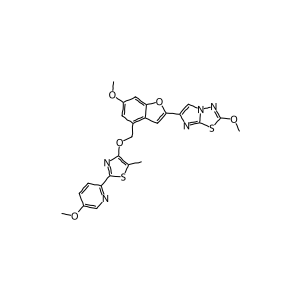 COc1ccc(-c2nc(OCc3cc(OC)cc4oc(-c5cn6nc(OC)sc6n5)cc34)c(C)s2)nc1